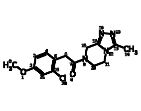 COc1ccc(CC(=O)N2CCn3c(C)nnc3C2)c(Cl)c1